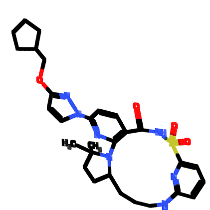 CC1(C)CCC2CCCNc3cccc(n3)S(=O)(=O)NC(=O)c3ccc(-n4ccc(OCC5CCCC5)n4)nc3N21